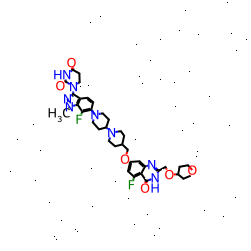 Cn1nc(N2CCC(=O)NC2=O)c2ccc(N3CCC(N4CCC(COc5cc(F)c6c(=O)[nH]c(COC7CCOCC7)nc6c5)CC4)CC3)c(F)c21